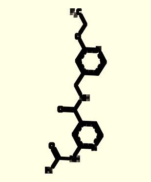 CCC(=O)Nc1cc(C(=O)NCc2ccnc(OCC(F)(F)F)c2)ccn1